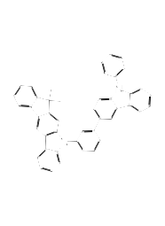 CC1(C)c2ccccc2-c2cc3c4ccccc4n(-c4cccc(-c5ccc6c(c5)c5ccccc5n6-c5ccccc5)c4)c3cc21